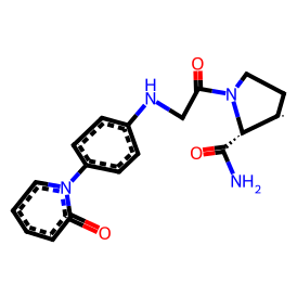 NC(=O)[C@H]1[CH]CCN1C(=O)CNc1ccc(-n2ccccc2=O)cc1